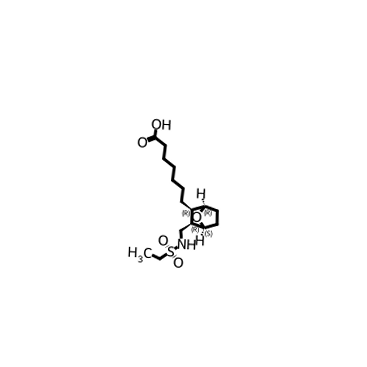 CCS(=O)(=O)NC[C@H]1[C@@H](CCCCCCC(=O)O)[C@H]2CC[C@@H]1O2